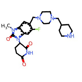 Cn1c(=O)n(C2CCC(=O)NC2=O)c2cc(F)c(CN3CCN(CC4CCNCC4)CC3)cc21